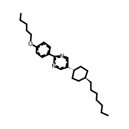 CCCCCCC[C@H]1CC[C@H](c2cnc(-c3ccc(OCCCCC)cc3)nc2)CC1